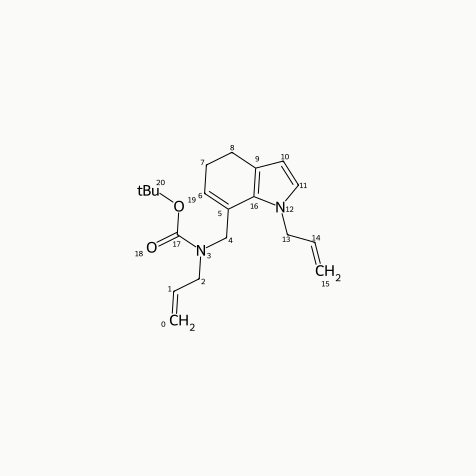 C=CCN(CC1=CCCc2ccn(CC=C)c21)C(=O)OC(C)(C)C